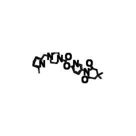 Cc1cccc(CN2CCN(C(=O)Oc3ccc(N4C(=O)CC(C)(C)CC4=O)cn3)CC2)n1